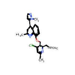 CC(=O)NCc1nc(C)cc(Cl)c1COc1cccc2c(-c3ccnn3C)cc(C)nc12